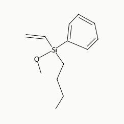 C=C[Si](CCCC)(OC)c1ccccc1